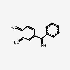 C=C/C=C\C(=C/C=C)C(=N)c1ccccc1